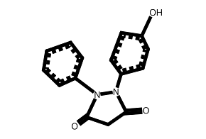 O=C1CC(=O)N(c2ccc(O)cc2)N1c1ccccc1